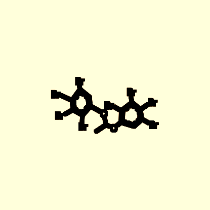 CC(Oc1cc(Br)c(Br)c(Br)c1Br)Oc1cc(Br)c(Br)c(Br)c1Br